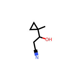 CC1(C(O)CC#N)CC1